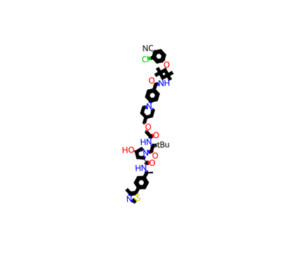 Cc1ncsc1-c1ccc([C@H](C)NC(=O)[C@@H]2C[C@@H](O)CN2C(=O)C(NC(=O)COCC2CCN(c3ccc(C(=O)N[C@H]4C(C)(C)[C@H](Oc5ccc(C#N)c(Cl)c5)C4(C)C)cc3)CC2)C(C)(C)C)cc1